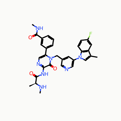 CNC(=O)c1cccc(-c2cnc(NC(=O)[C@H](C)NC)c(=O)n2Cc2cncc(-n3cc(C)c4cc(F)ccc43)c2)c1